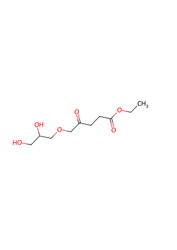 CCOC(=O)CCC(=O)COCC(O)CO